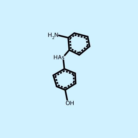 Nc1ccccc1[AsH]c1ccc(O)cc1